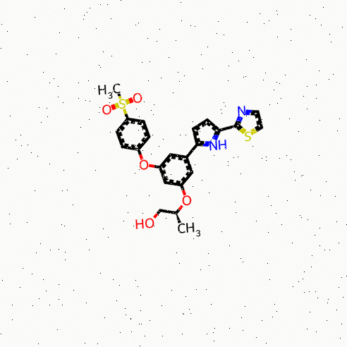 C[C@@H](CO)Oc1cc(Oc2ccc(S(C)(=O)=O)cc2)cc(-c2ccc(-c3nccs3)[nH]2)c1